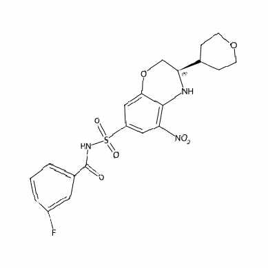 O=C(NS(=O)(=O)c1cc2c(c([N+](=O)[O-])c1)N[C@H](C1CCOCC1)CO2)c1cccc(F)c1